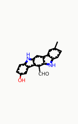 Cc1ccc2[nH]c3c(C=O)c4c(cc3c2c1)[nH]c1ccc(O)cc14